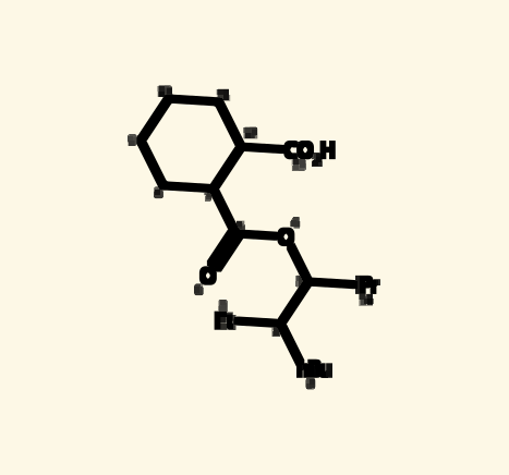 CCCCC(CC)C(OC(=O)C1CCCCC1C(=O)O)C(C)C